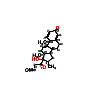 COCC(=O)[C@@]1(O)[C@H](C)CC2C3CCC4=CC(=O)C=C[C@]4(C)C3=CC[C@@]21C